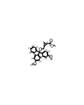 COC(=O)C1CC1COC(c1ccccc1)(c1ccc(OC)cc1)c1ccc(OC)cc1